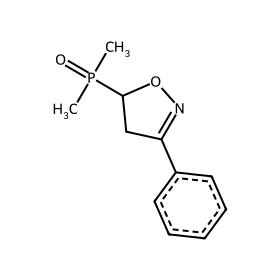 CP(C)(=O)C1CC(c2ccccc2)=NO1